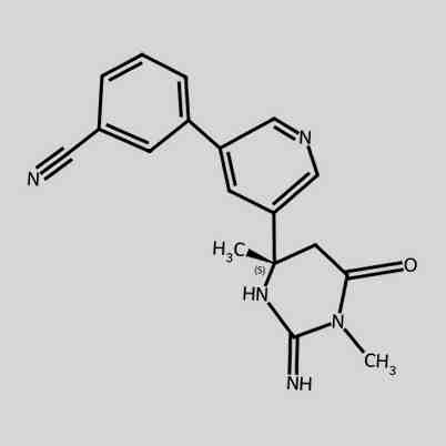 CN1C(=N)N[C@](C)(c2cncc(-c3cccc(C#N)c3)c2)CC1=O